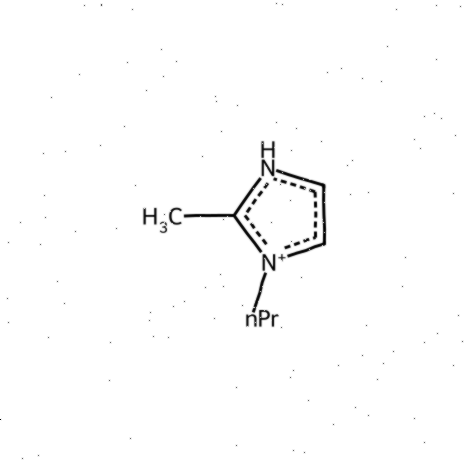 [CH2]CC[n+]1cc[nH]c1C